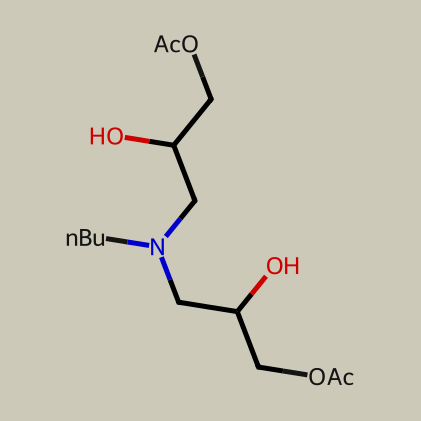 CCCCN(CC(O)COC(C)=O)CC(O)COC(C)=O